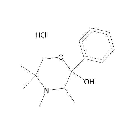 CC1N(C)C(C)(C)COC1(O)c1ccccc1.Cl